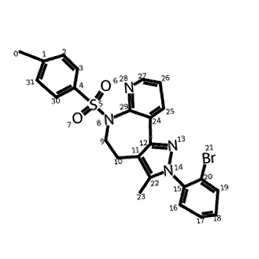 Cc1ccc(S(=O)(=O)N2CCc3c(nn(-c4ccccc4Br)c3C)-c3cccnc32)cc1